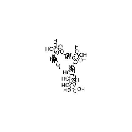 CCOCc1cn(C[C@H]2O[C@H](OCc3cn(C[C@H]4O[C@H](OCc5cn(C[C@H]6OC(CCl)(O[C@H]7O[C@H](CO)[C@H](Cl)[C@H](O)C7O)[C@@H](O)[C@@H]6O)nn5)[C@@H](O)[C@@H](O)[C@@H]4O)nn3)[C@@H](O)[C@@H](O)[C@@H]2O)nn1